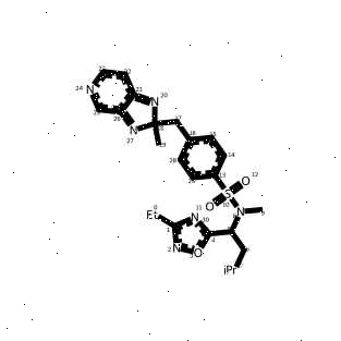 CCc1noc(C(CC(C)C)N(C)S(=O)(=O)c2ccc(CC3(C)N=c4ccncc4=N3)cc2)n1